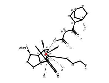 CO[C@@H]1CCC23CC[C@@H](C)[C@](C)(C12)[C@H](OC(=O)NC(=O)[C@H]1CN2CC[C@@H]1C2)C[C@@](C)(CCCF)C(=O)[C@@H]3C